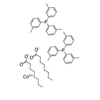 CCCCCCCC(=O)[O-].CCCCCCCC(=O)[O-].Cc1cccc(P(c2cccc(C)c2)c2cccc(C)c2)c1.Cc1cccc(P(c2cccc(C)c2)c2cccc(C)c2)c1.[Co+2]